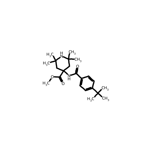 COC(=O)C1(NC(=O)c2ccc(C(C)(C)C)cc2)CC(C)(C)NC(C)(C)C1